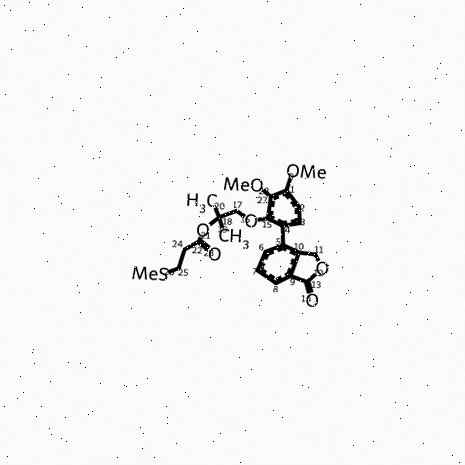 COc1ccc(-c2cccc3c2COC3=O)c(OCC(C)(C)OC(=O)CCSC)c1OC